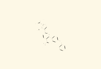 CC(C)(C)C1C(c2ccc(C(N)=O)c(-c3ccc(Oc4ccccc4)cc3)n2)=CCN1C(=O)O